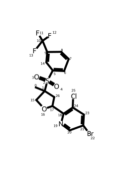 CC1(S(=O)(=O)c2cccc(C(F)(F)F)c2)COC(c2ncc(Br)cc2Cl)C1